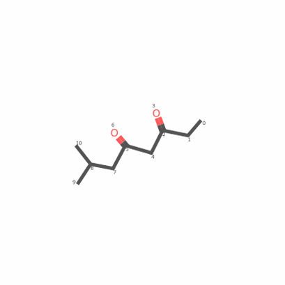 CCC(=O)CC(=O)CC(C)C